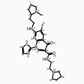 CN1CCCC1CCNc1nc2c(cc1F)c(=O)c(C(=O)NCCN1CCCC1)cn2-c1nccs1